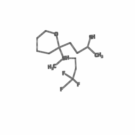 CC(S)CCC1([SiH](C)CCC(F)(F)F)CCCCO1